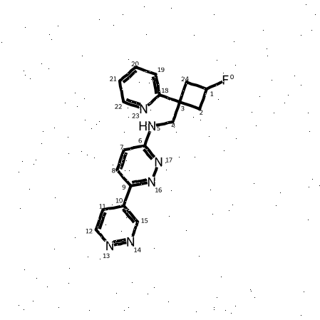 FC1CC(CNc2ccc(-c3ccnnc3)nn2)(c2ccccn2)C1